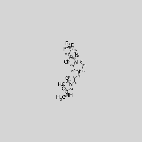 CNC(=O)CN(CCCN1CCCN(c2ncc(C(F)(F)F)cc2Cl)CC1)C(=O)O